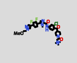 COCCn1cc(-c2ccc(-c3cnc(C(=O)Nc4ccc(C(=O)C5CCN(C(=O)C[N+](C)(C)C)CC5)c(Cl)c4)n3C)c(F)c2F)cn1